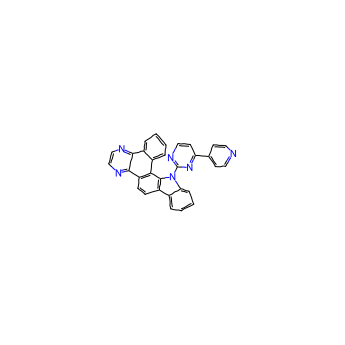 c1ccc2c(c1)c1nccnc1c1ccc3c4ccccc4n(-c4nccc(-c5ccncc5)n4)c3c21